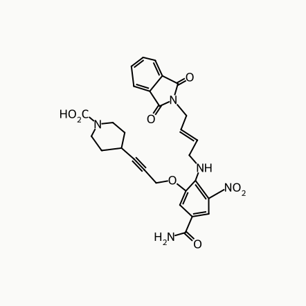 NC(=O)c1cc(OCC#CC2CCN(C(=O)O)CC2)c(NCC=CCN2C(=O)c3ccccc3C2=O)c([N+](=O)[O-])c1